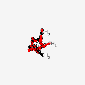 CCCCCCOc1cccc(N(c2ccc(Oc3cccc(N(c4ccc(-c5ccc(N(c6ccccc6)c6ccccc6)cc5)cc4)c4cccc(OCCCCCC)c4)c3)cc2)c2ccc(-c3ccc(N(c4cccc(OCCCCOCC5(C)COC5)c4)c4cccc(Oc5ccc(N(c6ccccc6)c6cccc(OCCCCOCC7(C)COC7)c6)cc5)c4)cc3)cc2)c1